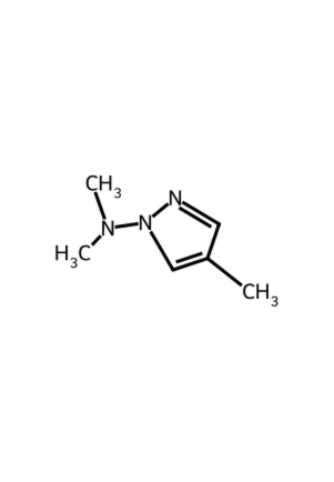 Cc1cnn(N(C)C)c1